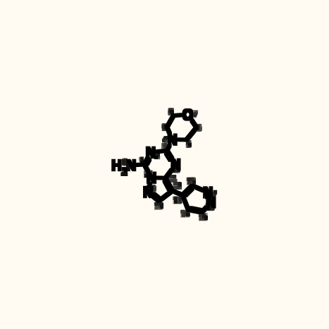 Nc1nc(N2CCOCC2)nc2c(-c3ccnnc3)cnn12